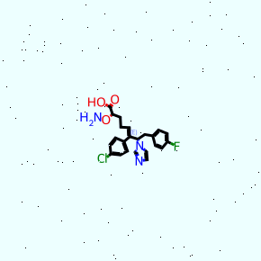 NOC(CC/C=C(\c1ccc(Cl)cc1)C(Cc1ccc(F)cc1)n1ccnc1)C(=O)O